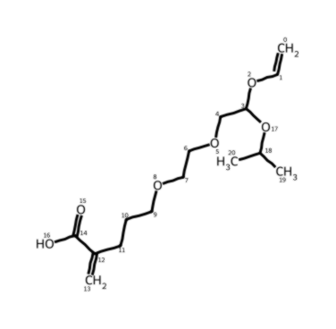 C=COC(COCCOCCCC(=C)C(=O)O)OC(C)C